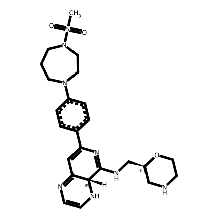 CS(=O)(=O)N1CCCN(c2ccc(C3=CC4=NC=CN[C@H]4C(NC[C@@H]4CNCCO4)=N3)cc2)CC1